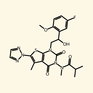 COc1ccc(F)cc1C(O)Cn1c(=O)n(N(C)C(=O)C(C)C)c(=O)c2c(C)c(-n3nccn3)sc21